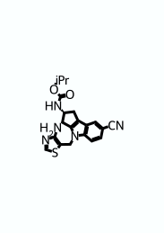 CC(C)OC(=O)N[C@H]1Cc2c(n(Cc3scnc3N)c3ccc(C#N)cc23)C1